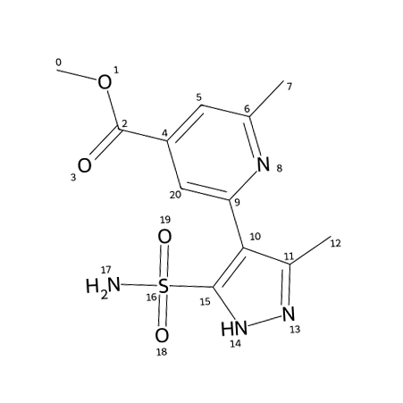 COC(=O)c1cc(C)nc(-c2c(C)n[nH]c2S(N)(=O)=O)c1